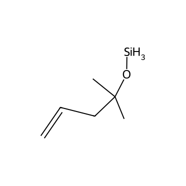 C=CCC(C)(C)O[SiH3]